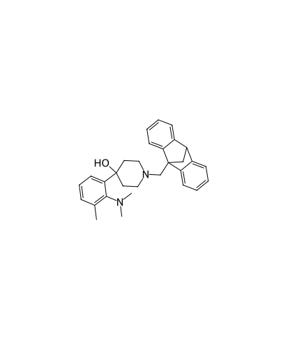 Cc1cccc(C2(O)CCN(CC34CC(c5ccccc53)c3ccccc34)CC2)c1N(C)C